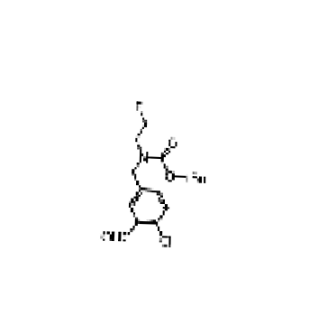 CC(C)(C)OC(=O)N(CCF)Cc1ccc(Cl)c(C=O)c1